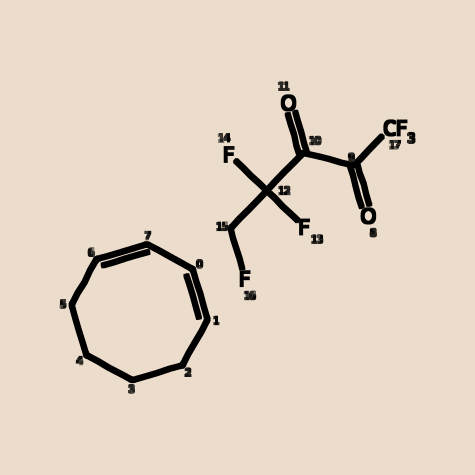 C1=CCCCCC=C1.O=C(C(=O)C(F)(F)CF)C(F)(F)F